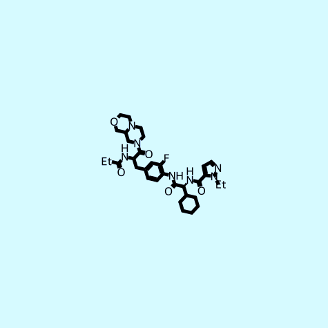 CCC(=O)NC(Cc1ccc(NC(=O)[C@@H](NC(=O)c2ccnn2CC)C2CCCCC2)c(F)c1)C(=O)N1CCN2CCOCC2C1